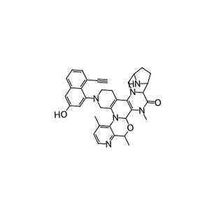 C#Cc1cccc2cc(O)cc(N3CCC4=C(C3)N3c5c(C)ccnc5C(C)OC3C3=C4N4CC5CCC(N5)C4C(=O)N3C)c12